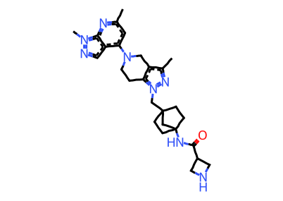 Cc1cc(N2CCc3c(c(C)nn3CC34CCC(NC(=O)C5CNC5)(CC3)C4)C2)c2cnn(C)c2n1